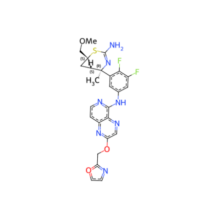 COC[C@]12C[C@H]1[C@](C)(c1cc(Nc3nccc4nc(OCc5ncco5)cnc34)cc(F)c1F)N=C(N)S2